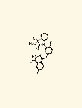 CC1(Cl)C(=O)N(c2cc(Cc3n[nH]c(=O)c4cc(F)ccc34)ccc2F)c2ccccc21